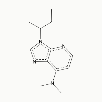 CCC(C)n1cnc2c(N(C)C)ccnc21